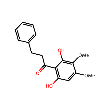 COc1cc(O)c(C(=O)CCc2ccccc2)c(O)c1OC